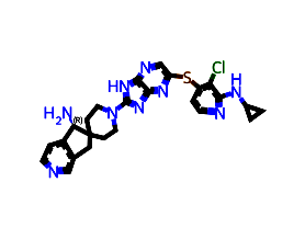 N[C@H]1c2ccncc2CC12CCN(c1nc3nc(Sc4ccnc(NC5CC5)c4Cl)cnc3[nH]1)CC2